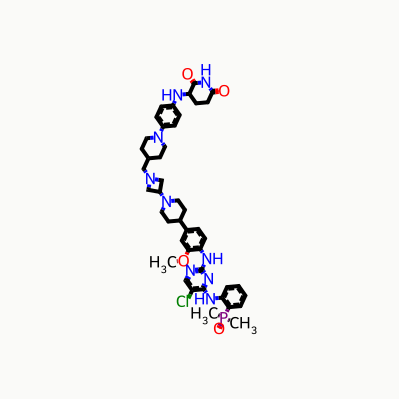 COc1cc(C2CCN(C3CN(CC4CCN(c5ccc(NC6CCC(=O)NC6=O)cc5)CC4)C3)CC2)ccc1Nc1ncc(Cl)c(Nc2ccccc2P(C)(C)=O)n1